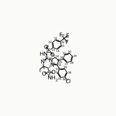 C[C@H](CS(N)(=O)=O)/N=C(/NS(=O)(=O)c1ccc(C(F)(F)F)cc1)N1C[C@@H](c2ccccc2)C(c2ccc(Cl)cc2)=N1